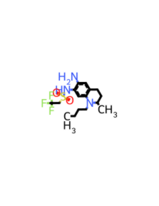 CCCCN1c2cc(NS(=O)(=O)CC(F)(F)F)c(N)cc2CCC1C